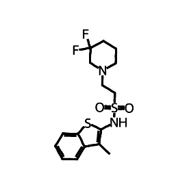 Cc1c(NS(=O)(=O)CCN2CCCC(F)(F)C2)sc2ccccc12